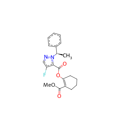 COC(=O)C1=C(OC(=O)c2c(F)cnn2[C@H](C)c2ccccc2)CCCC1